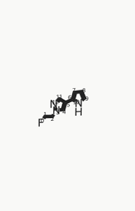 FCCn1cc(-c2ccc[nH]2)cn1